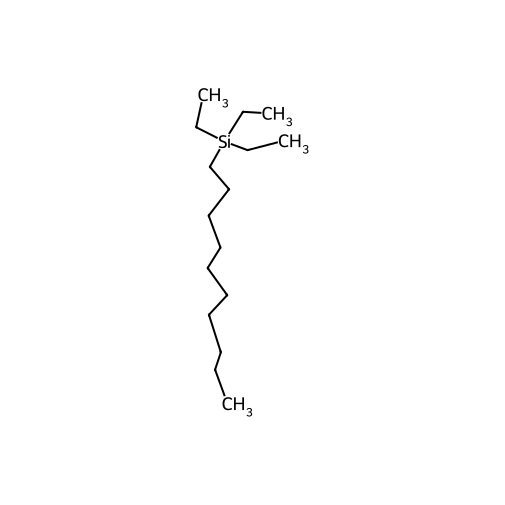 CCCCCCCCCC[Si](CC)(CC)CC